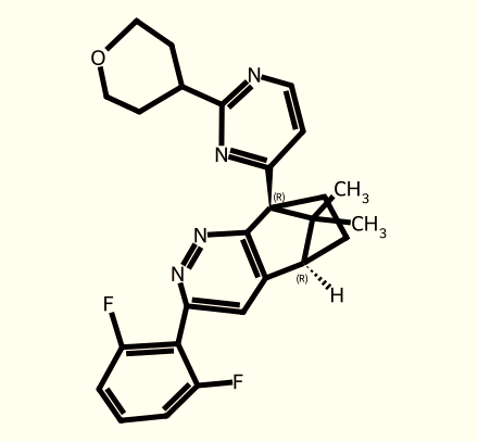 CC1(C)[C@H]2CC[C@@]1(c1ccnc(C3CCOCC3)n1)c1nnc(-c3c(F)cccc3F)cc12